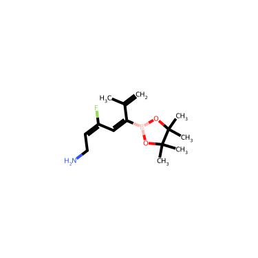 C=C(C)/C(=C\C(F)=C/CN)B1OC(C)(C)C(C)(C)O1